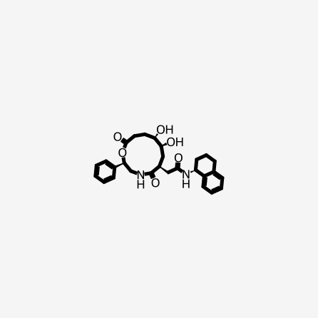 O=C(C[C@@H]1C[C@H](O)[C@@H](O)CCC(=O)O[C@H](c2ccccc2)CNC1=O)N[C@@H]1CCCc2ccccc21